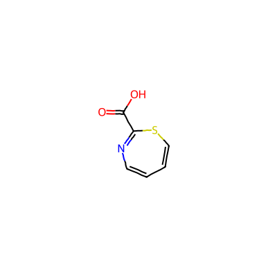 O=C(O)C1=NC=CC=CS1